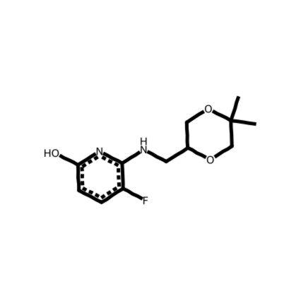 CC1(C)COC(CNc2nc(O)ccc2F)CO1